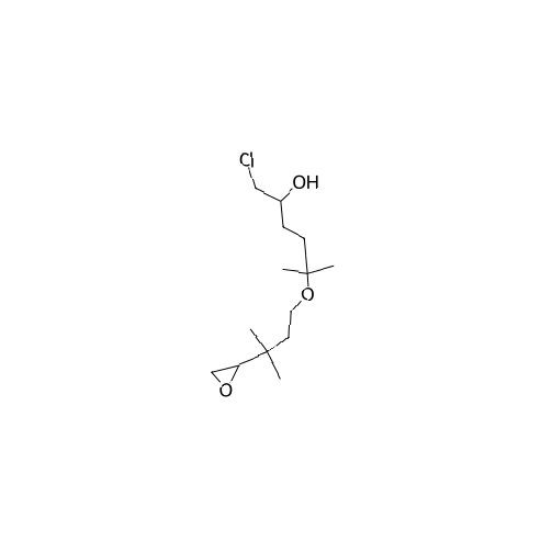 CC(C)(CCC(O)CCl)OCCC(C)(C)C1CO1